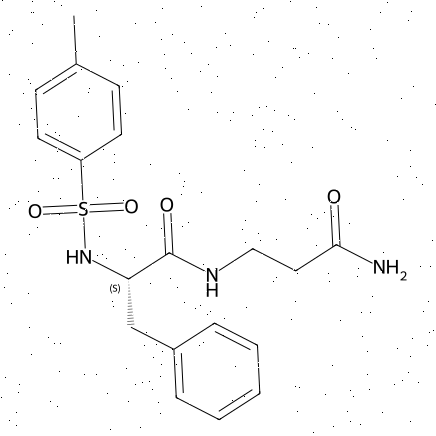 Cc1ccc(S(=O)(=O)N[C@@H](Cc2ccccc2)C(=O)NCCC(N)=O)cc1